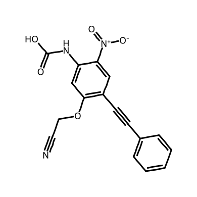 N#CCOc1cc(NC(=O)O)c([N+](=O)[O-])cc1C#Cc1ccccc1